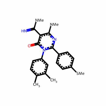 CNC(=N)c1c(NC)nc(-c2ccc(SC)cc2)n(-c2ccc(C)c(C)c2)c1=O